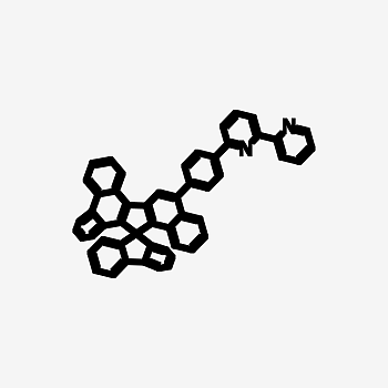 c1ccc(-c2cccc(-c3ccc(-c4cc5c(c6ccccc46)C4(c6ccccc6-c6ccccc64)c4c-5c5ccccc5c5ccccc45)cc3)n2)nc1